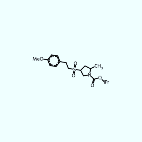 COc1ccc(CCS(=O)(=O)C2CC(C)N(C(=O)OC(C)C)C2)cc1